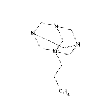 CCC[N+]12CN3CN(CN(C3)C1)C2